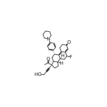 CC(=O)[C@@]1(C#CCO)CC[C@H]2[C@@H]3CC(F)C4=CC(=O)CCC4=C3[C@@H](c3ccc(N4CCCCC4)cc3)C[C@@]21C